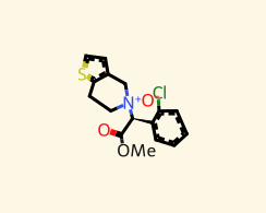 COC(=O)[C@H](c1ccccc1Cl)[N+]1([O-])CCc2sccc2C1